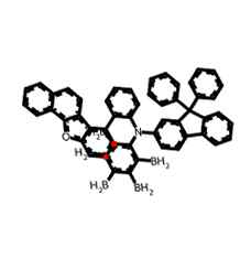 Bc1c(B)c(B)c(N(c2ccc3c(c2)C(c2ccccc2)(c2ccccc2)c2ccccc2-3)c2ccccc2-c2cccc3oc4c5ccccc5ccc4c23)c(B)c1B